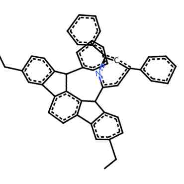 CCc1ccc2c(c1)-c1ccc3c(c1C2c1ccccc1)C(c1cc(-c2ccccc2)cc(-c2ccccc2)n1)c1ccc(CC)cc1-3